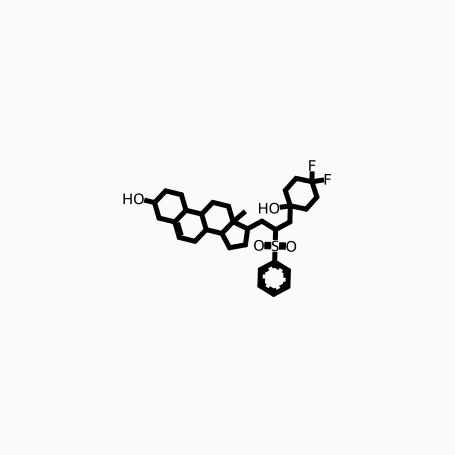 CC12CCC3C4CCC(O)CC4=CCC3C1CCC2CC(CC1(O)CCC(F)(F)CC1)S(=O)(=O)c1ccccc1